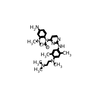 Cc1cc(N(C)CCN(C)C)c(C)cc1Nc1nccc(N(C=O)c2ccc(N)cc2N(C)C)n1